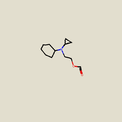 O=COCCN(C1CCCCC1)C1CC1